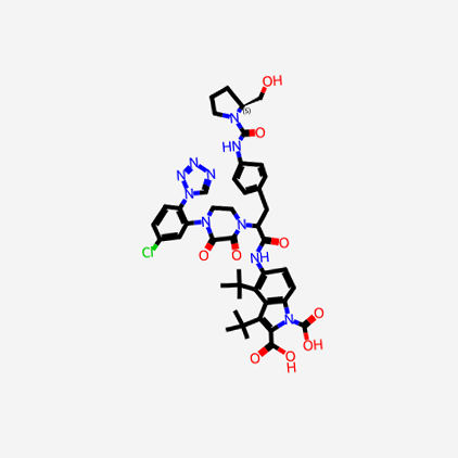 CC(C)(C)c1c(NC(=O)C(Cc2ccc(NC(=O)N3CCC[C@H]3CO)cc2)N2CCN(c3cc(Cl)ccc3-n3cnnn3)C(=O)C2=O)ccc2c1c(C(C)(C)C)c(C(=O)O)n2C(=O)O